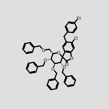 CCc1ccc(Cc2cc3c(cc2Cl)OC(=O)C32O[C@H](COCc3ccccc3)[C@@H](OCc3ccccc3)[C@H](OCc3ccccc3)[C@H]2OCc2ccccc2)cc1